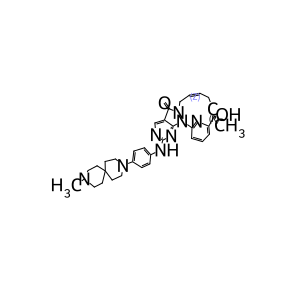 CN1CCC2(CC1)CCN(c1ccc(Nc3ncc4c(=O)n5n(c4n3)-c3cccc(n3)[C@](C)(O)CC/C=C\C5)cc1)CC2